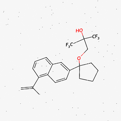 C=C(C)c1cccc2cc(C3(OCC(O)(C(F)(F)F)C(F)(F)F)CCCC3)ccc12